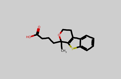 CC1(CCCC(=O)O)OCCc2c1sc1ccccc21